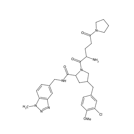 COc1ccc(CC2CC(C(=O)NCc3ccc4c(c3)nnn4C)N(C(=O)C(N)CCC(=O)N3CCCC3)C2)cc1Cl